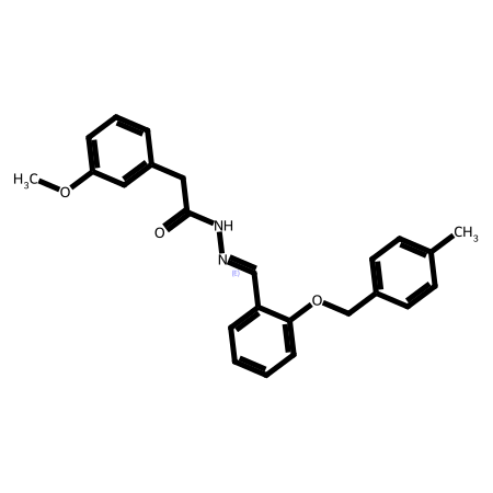 COc1cccc(CC(=O)N/N=C/c2ccccc2OCc2ccc(C)cc2)c1